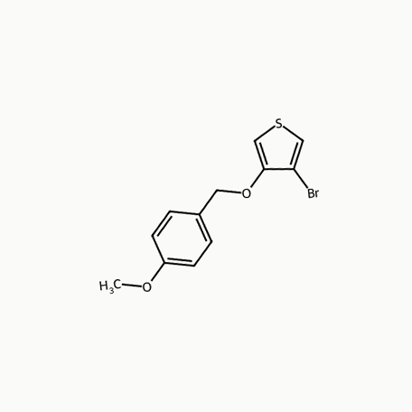 COc1ccc(COc2cscc2Br)cc1